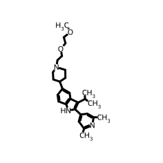 COCCOCCN1CCC(c2ccc3[nH]c(-c4cc(C)nc(C)c4)c(C(C)C)c3c2)CC1